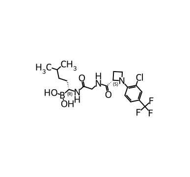 CC(C)CC[C@H](NC(=O)CNC(=O)[C@@H]1CCN1c1ccc(C(F)(F)F)cc1Cl)B(O)O